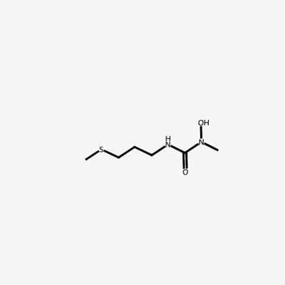 CSCCCNC(=O)N(C)O